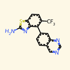 Nc1nc2c(-c3ccc4cncnc4c3)c(C(F)(F)F)ccc2s1